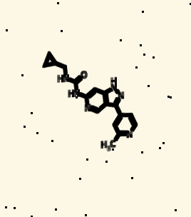 Cc1cc(-c2n[nH]c3cc(NC(=O)NCC4CC4)ncc23)ccn1